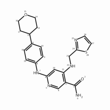 NC(=O)c1cnc(Nc2ccc(C3CCOCC3)cc2)cc1NCc1nccs1